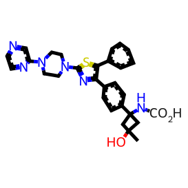 CC1(O)CC(NC(=O)O)(c2ccc(-c3nc(N4CCN(c5cnccn5)CC4)sc3-c3ccccc3)cc2)C1